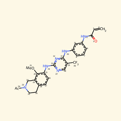 C=CC(=O)Nc1cccc(Nc2nc(Nc3ccc4c(c3OC)CN(C(C)=O)CC4)ncc2C(F)(F)F)c1